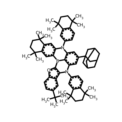 CC(C)(C)c1ccc2oc3c(c2c1)N(c1ccc2c(c1)C(C)(C)CCC2(C)C)c1cc(C24CC5CC(CC(C5)C2)C4)cc2c1B3c1cc3c(cc1N2c1ccc2c(c1)C(C)(C)CCC2(C)C)C(C)(C)CCC3(C)C